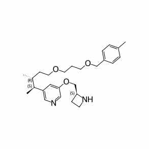 Cc1ccc(COCCCOCC[C@@H](C)[C@H](C)c2cncc(OC[C@@H]3CCN3)c2)cc1